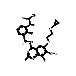 COc1c(OCCOC2CC2)cc2c(N[C@H](C)c3cccc(C(F)C(O)F)c3F)nc(C)nc2c1F